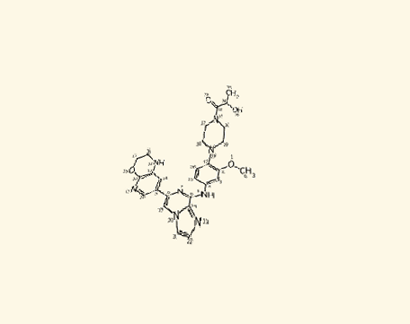 COc1cc(Nc2nc(-c3cnc4c(c3)NCCO4)cn3ccnc23)ccc1N1CCN(C(=O)C(C)O)CC1